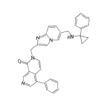 O=c1c2cncc(-c3ccccc3)c2ccn1Cc1cn2cc(CNC3(c4ccccc4)CC3)ccc2n1